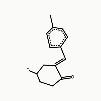 Cc1ccc(C=C2CC(F)CCC2=O)cc1